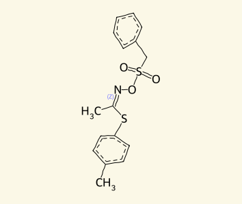 C/C(=N/OS(=O)(=O)Cc1ccccc1)Sc1ccc(C)cc1